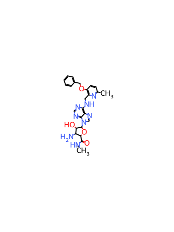 CNC(=O)C1OC(n2cnc3c(NCc4nc(C)ccc4OCc4ccccc4)ncnc32)C(O)C1N